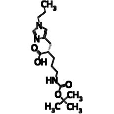 CCCn1cnc(C[C@H](CCCNC(=O)OC(C)(C)C)C(=O)O)c1